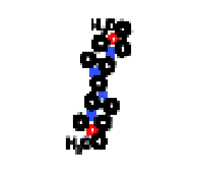 Cc1cccc2c1oc1c(N(c3ccccc3)c3ccc4c5cc6c(cc5n5c7ccccc7c3c45)c3ccc(N(c4ccccc4)c4cccc5c4oc4c(C)cccc45)c4c5ccccc5n6c34)cccc12